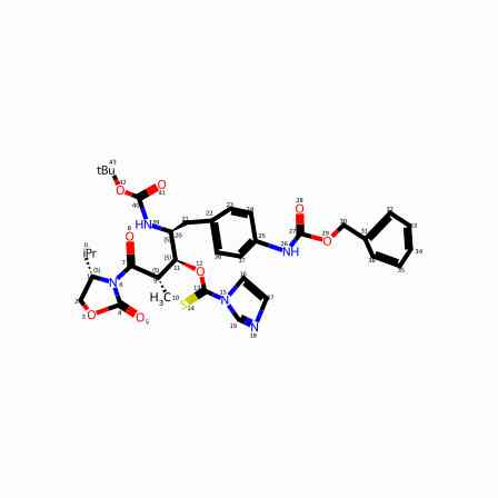 CC(C)[C@H]1COC(=O)N1C(=O)[C@@H](C)[C@H](OC(=S)n1ccnc1)[C@H](Cc1ccc(NC(=O)OCc2ccccc2)cc1)NC(=O)OC(C)(C)C